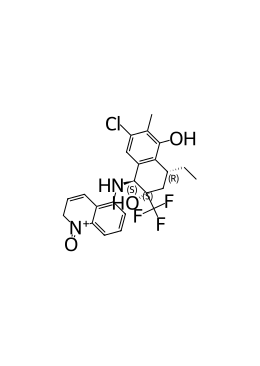 CC[C@@H]1C[C@@](O)(C(F)(F)F)[C@@H](Nc2cccc3c2C=CC[N+]3=O)c2cc(Cl)c(C)c(O)c21